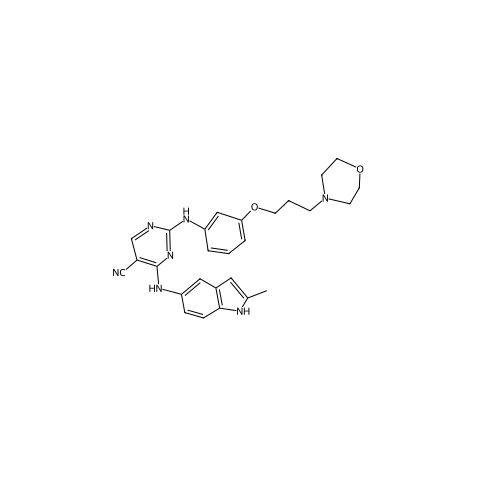 Cc1cc2cc(Nc3nc(Nc4cccc(OCCCN5CCOCC5)c4)ncc3C#N)ccc2[nH]1